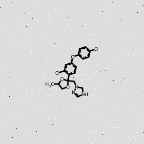 CC1COC(CN2CNC=N2)(c2ccc(Oc3ccc(Cl)cc3)cc2Cl)O1